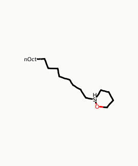 CCCCCCCCCCCCCCCC[SiH]1CCCCO1